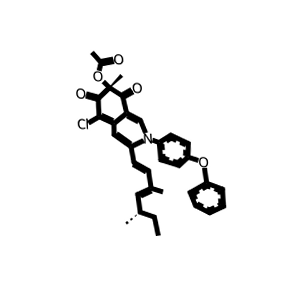 CC[C@H](C)/C=C(C)/C=C/C1=CC2=C(Cl)C(=O)[C@](C)(OC(C)=O)C(=O)C2=CN1c1ccc(Oc2ccccc2)cc1